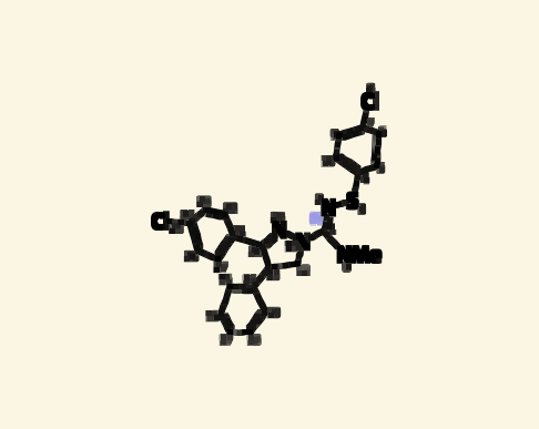 CN/C(=N\Sc1ccc(Cl)cc1)N1CC(c2ccccc2)C(c2ccc(Cl)cc2)=N1